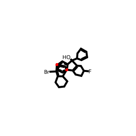 OC(C1=C(C2C=CC(Br)=C3CCCCC32)CCC(F)C1)(c1ccccc1)C1C=CC=CC1